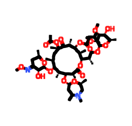 CO/N=C1\C[C@@H](C)O[C@@H](O[C@@H]2[C@@H](C)[C@H](O[C@H]3CC(C)N(C)C[C@H](C)O3)[C@@H](C)C(=O)O[C@H]([C@@H](C)CO[C@@H]3O[C@H](C)[C@@H](O)[C@@H](OC)[C@H]3OC)[C@H](C)[C@@H](OC(=O)CC(C)C)[C@@H](C)C(=O)[C@@](C)(OC(C)=O)C[C@@H]2C)[C@@H]1O